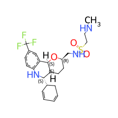 CNCCS(=O)(=O)NC[C@H]1CC[C@@H]2[C@H](O1)c1cc(C(F)(F)F)ccc1N[C@H]2C1C=CC=CC1